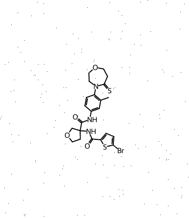 Cc1cc(NC(=O)C2(NC(=O)c3ccc(Br)s3)CCOC2)ccc1N1CCOCCC1=S